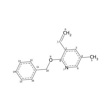 C=Cc1cc(C)cnc1OCc1ccccc1